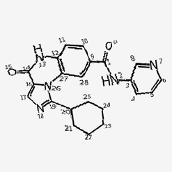 O=C(Nc1cccnc1)c1ccc2[nH]c(=O)c3cnc(C4CCCCC4)n3c2c1